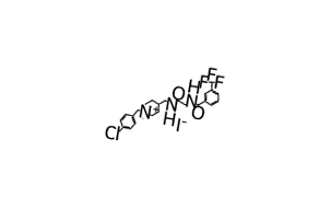 C[N+]1(Cc2ccc(Cl)cc2)CCC(CNC(=O)CNC(=O)c2cccc(C(F)(F)F)c2)CC1.[I-]